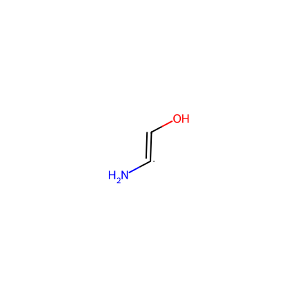 N[C]=CO